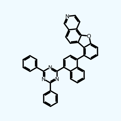 c1ccc(-c2nc(-c3ccccc3)nc(-c3ccc(-c4cccc5oc6c7ccncc7ccc6c45)c4ccccc34)n2)cc1